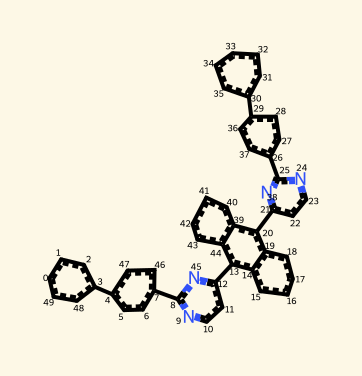 c1ccc(-c2ccc(-c3nccc(-c4c5ccccc5c(-c5ccnc(-c6ccc(-c7ccccc7)cc6)n5)c5ccccc45)n3)cc2)cc1